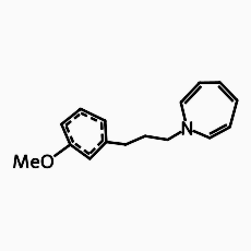 COc1cccc(CCCN2C=CC=CC=C2)c1